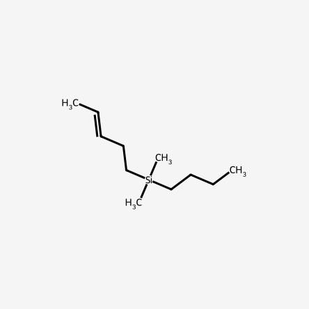 CC=CCC[Si](C)(C)CCCC